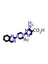 CC(=O)[C@H]1CN(c2ncc3c(n2)CCCC3)CCN1c1ncc(C(=O)O)c(N)n1